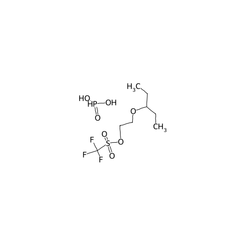 CCC(CC)OCCOS(=O)(=O)C(F)(F)F.O=[PH](O)O